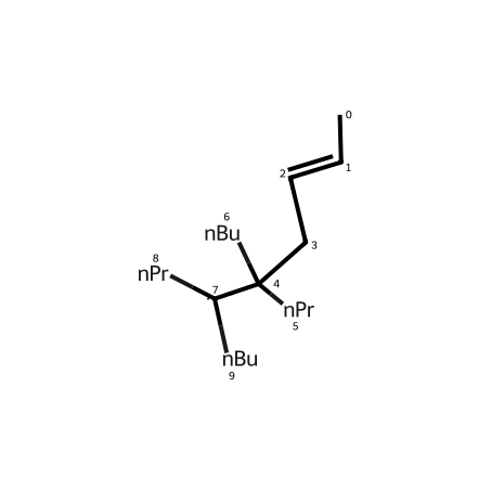 CC=CCC(CCC)(CCCC)[C](CCC)CCCC